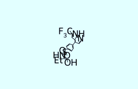 CCC(CO)NS(=O)(=O)c1ccc(-c2ccnc3[nH]c(C(F)(F)F)cc23)cc1